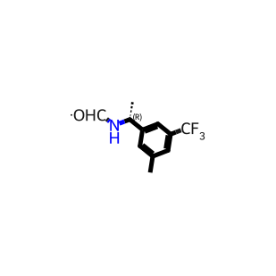 Cc1cc([C@@H](C)N[C]=O)cc(C(F)(F)F)c1